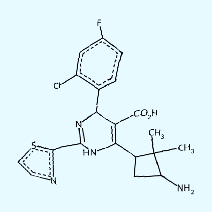 CC1(C)C(N)CC1C1=C(C(=O)O)C(c2ccc(F)cc2Cl)N=C(c2nccs2)N1